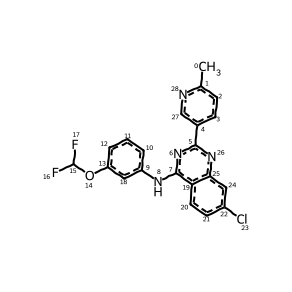 Cc1ccc(-c2nc(Nc3cccc(OC(F)F)c3)c3ccc(Cl)cc3n2)cn1